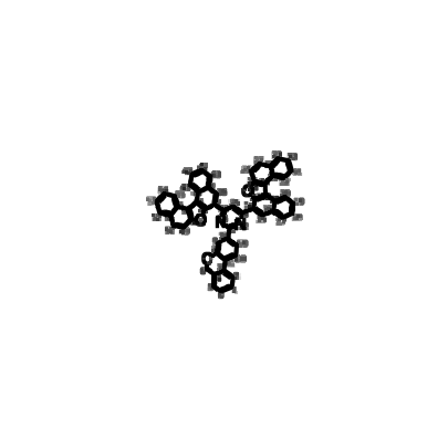 c1ccc2c(c1)COc1cc(-c3nc(-c4cc5ccccc5c5c4oc4ccc6ccccc6c45)cc(-c4cc5ccccc5c5c4oc4ccc6ccccc6c45)n3)ccc1-2